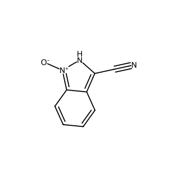 N#Cc1[nH][n+]([O-])c2ccccc12